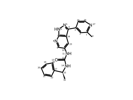 Cc1cc(-c2n[nH]c3ncc(NC(=O)N[C@@H](C)c4ccccc4)cc23)ccn1